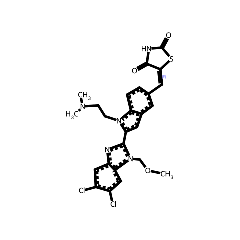 COCn1c(-c2cc3cc(/C=C4/SC(=O)NC4=O)ccc3n2CCN(C)C)nc2cc(Cl)c(Cl)cc21